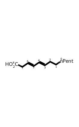 CCCCCCCC=CC=CCC(=O)O